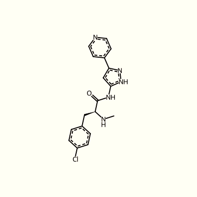 CN[C@@H](Cc1ccc(Cl)cc1)C(=O)Nc1cc(-c2ccncc2)n[nH]1